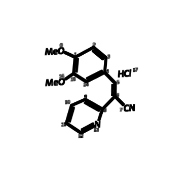 COc1ccc(C=C(C#N)c2ccccn2)cc1OC.Cl